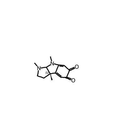 CN1CC[C@@]2(C)C3=CC(=O)C(=O)C=C3N(C)C12